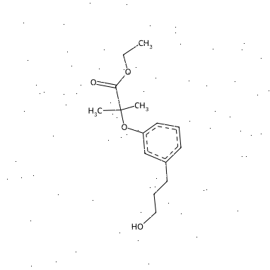 CCOC(=O)C(C)(C)Oc1cccc(CCCO)c1